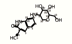 C#Cc1cc2ccc(NC3COC(CO)[C@@H](O)C3O)cc2[nH]c1=O